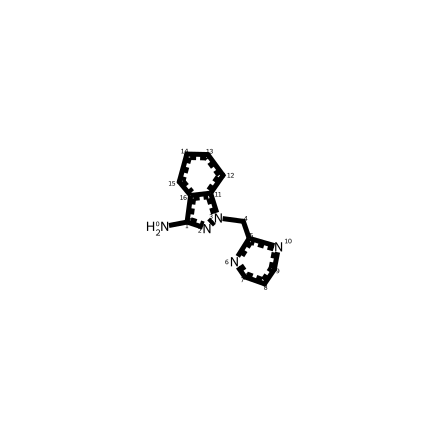 Nc1nn(Cc2ncccn2)c2ccccc12